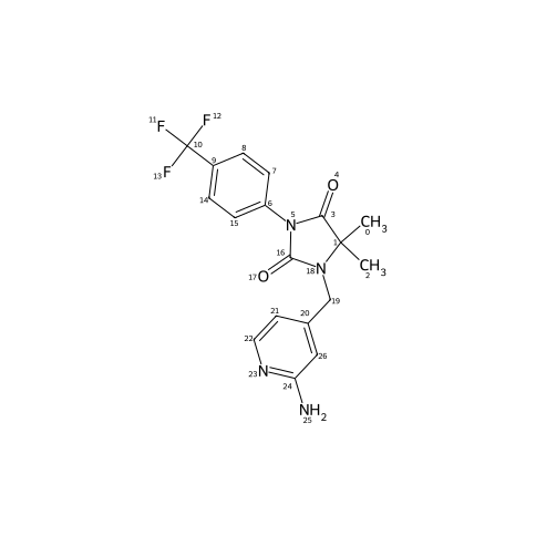 CC1(C)C(=O)N(c2ccc(C(F)(F)F)cc2)C(=O)N1Cc1ccnc(N)c1